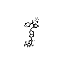 CCn1ncc(CN2CC3CN(C(=O)OC(C(F)(F)F)C(F)(F)F)CC3C2)c1C(=O)N1CCOCC1